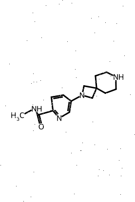 CNC(=O)c1ccc(N2CC3(CCNCC3)C2)cn1